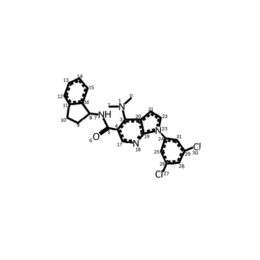 CN(C)c1c(C(=O)NC2CCc3ccccc32)cnc2c1ccn2-c1cc(Cl)cc(Cl)c1